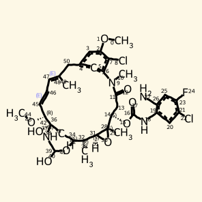 COc1cc2cc(c1Cl)N(C)C(=O)C[C@H](OC(=O)Nc1cc(Cl)c(F)cc1N)[C@]1(C)O[C@H]1[C@H](C)[C@@H]1C[C@@](O)(NC(O)O1)[C@H](OC)/C=C/C=C(\C)C2